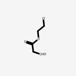 O=[C]CC(=O)OCCCl